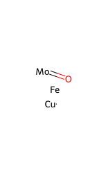 [Cu].[Fe].[O]=[Mo]